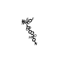 CC(SC1COC(c2ccc3cc(C(=O)Nc4ccc(C#N)cc4)ccc3c2)OC1)C(O)(Cn1cncn1)c1ccc(F)cc1F